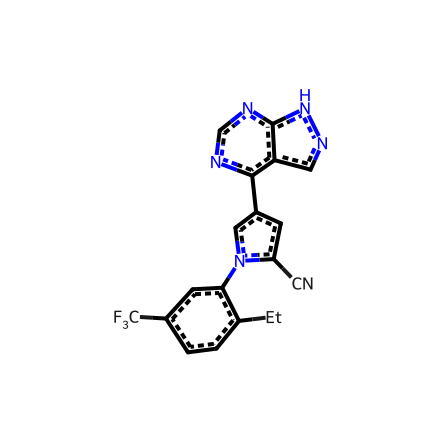 CCc1ccc(C(F)(F)F)cc1-n1cc(-c2ncnc3[nH]ncc23)cc1C#N